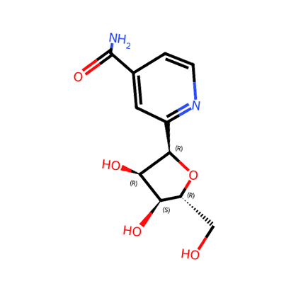 NC(=O)c1ccnc([C@H]2O[C@H](CO)[C@@H](O)[C@H]2O)c1